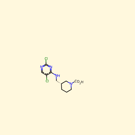 O=C(O)N1CCC[C@H](CNc2nc(Cl)ncc2Cl)C1